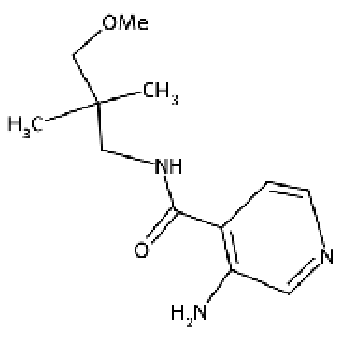 COCC(C)(C)CNC(=O)c1ccncc1N